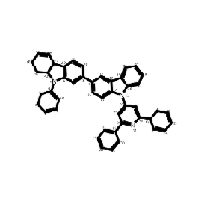 C1=CCCC(N2c3cc(-c4ccc5c(c4)c4ccccc4n5-c4cc(-c5ccccc5)nc(C5C=CC=CC5)c4)ccc3C3C=CCCC32)=C1